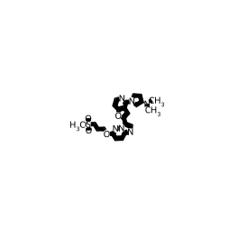 CN(C)[C@H]1CCN(c2nccc3oc(-c4cnc5ccc(OCCCS(C)(=O)=O)nn45)cc23)C1